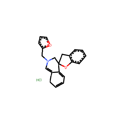 C1=CCC2=CN(Cc3ccco3)CC3(Cc4ccccc4O3)C2=C1.Cl